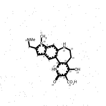 CNCc1cc2cc3c(cc2n1C)NCCc1c-3[nH]c(=O)c(C(=O)O)c1O